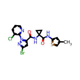 Cc1csc(NC(=O)C2(NC(=O)c3cc(Br)nn3-c3ncccc3Cl)CC2)c1